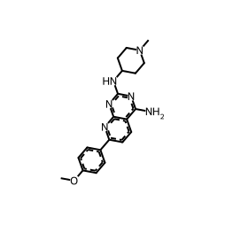 COc1ccc(-c2ccc3c(N)nc(NC4CCN(C)CC4)nc3n2)cc1